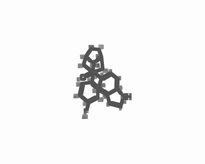 O=C(c1ccc2[nH]ccc2c1)N1C2CCC1CC(c1ccc(F)cc1)C2